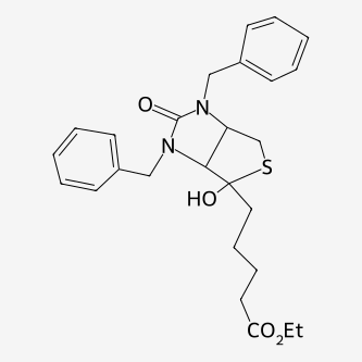 CCOC(=O)CCCCC1(O)SCC2C1N(Cc1ccccc1)C(=O)N2Cc1ccccc1